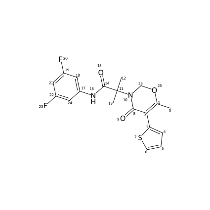 CC1=C(c2cccs2)C(=O)N(C(C)(C)C(=O)Nc2cc(F)cc(F)c2)CO1